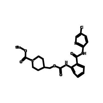 CC(C)(C)OC(=O)N1CCC(COC(=O)Nc2ccccc2C(=O)Nc2ccc(Cl)cn2)CC1